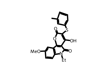 CCn1c(=O)c2c(O)c(Sc3cccc(C)c3)c(=O)oc2c2cc(OC)ccc21